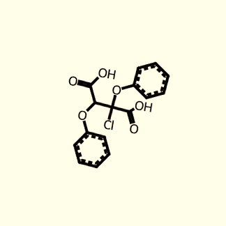 O=C(O)C(Oc1ccccc1)C(Cl)(Oc1ccccc1)C(=O)O